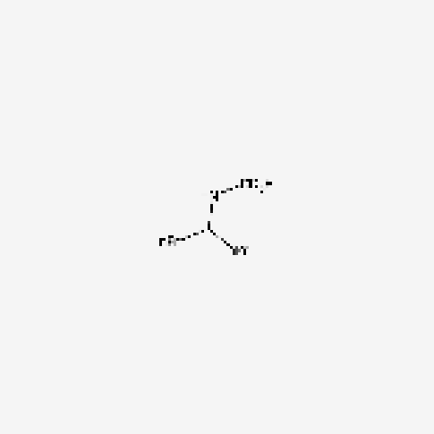 CCCC(NC(=O)O)C(C)C